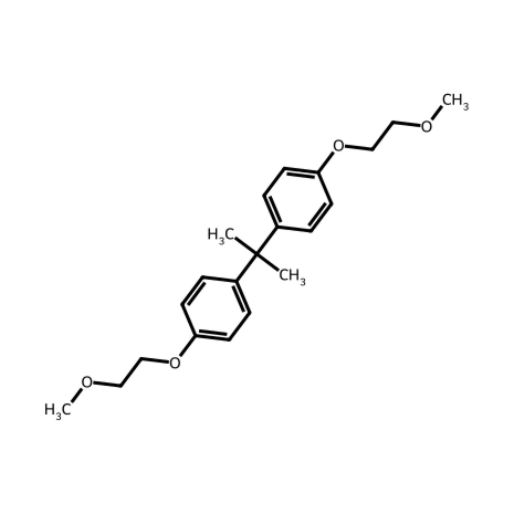 COCCOc1ccc(C(C)(C)c2ccc(OCCOC)cc2)cc1